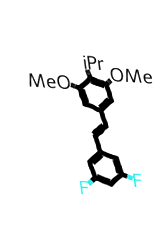 COc1cc(C=Cc2cc(F)cc(F)c2)cc(OC)c1C(C)C